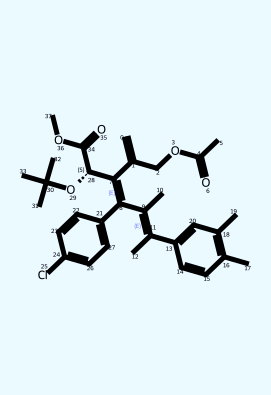 C=C(COC(C)=O)/C(=C(\C(C)=C(/C)c1ccc(C)c(C)c1)c1ccc(Cl)cc1)[C@H](OC(C)(C)C)C(=O)OC